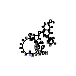 COc1ccc2c(OC3CC4C(=O)NC5(C(=O)O)CC5/C=C/CCCCCCC(=O)N4C3)nc(-n3cccn3)cc2c1